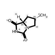 C[C@H]1C[C@H]2C(=O)NC(=O)N2C1